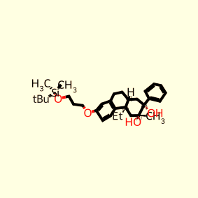 CC[C@@]12C[C@@](C)(O)[C@](O)(c3ccccc3)C[C@H]1CCc1cc(OCCCO[Si](C)(C)C(C)(C)C)ccc12